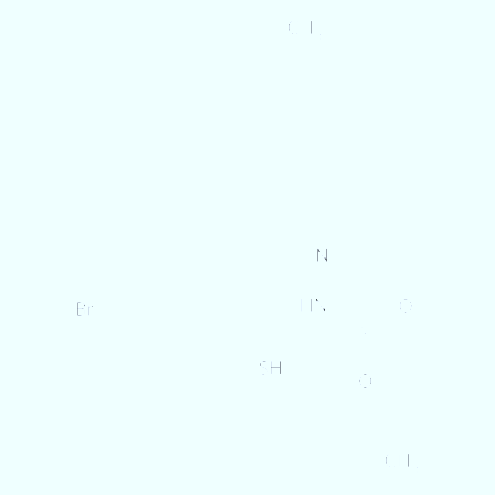 CCOC(=O)NN=C(c1ccc(C)cc1)c1ccc(Br)cc1CS